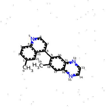 Cc1ccc2nccc(-c3cc4nccnc4cc3C)c2c1